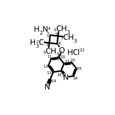 CC1(C)[C@H](N)C(C)(C)[C@H]1Oc1ccc(C#N)c2ncccc12.Cl